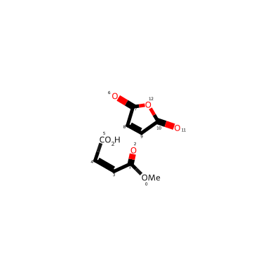 COC(=O)/C=C\C(=O)O.O=C1C=CC(=O)O1